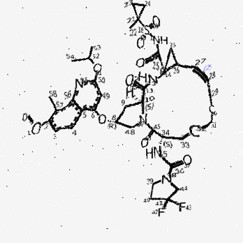 COc1ccc2c(O[C@@H]3C[C@H]4C(=O)N[C@]5(C(=O)NS(=O)(=O)C6(C)CC6)CC5/C=C\CCCCC[C@H](NC(=O)N5CCC(F)(F)C5)C(=O)N4C3)cc(OC(C)C)nc2c1C